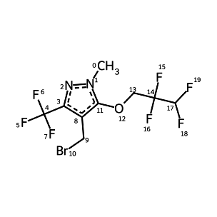 Cn1nc(C(F)(F)F)c(CBr)c1OCC(F)(F)C(F)F